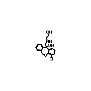 OCCNCC1(O)c2ccccc2COc2c(Cl)cccc21